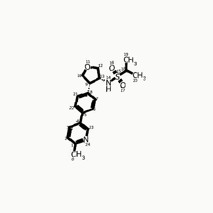 Cc1ccc(-c2ccc([C@@H]3COC[C@@H]3NS(=O)(=O)C(C)C)cc2)cn1